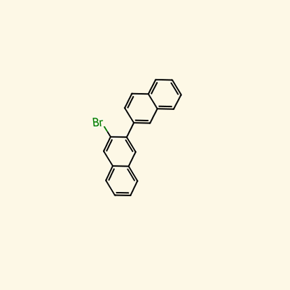 Brc1cc2ccccc2cc1-c1ccc2ccccc2c1